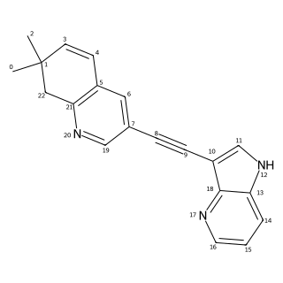 CC1(C)C=Cc2cc(C#Cc3c[nH]c4cccnc34)cnc2C1